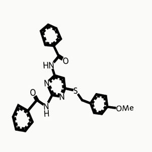 COc1ccc(CSc2cc(NC(=O)c3ccccc3)nc(NC(=O)c3ccccc3)n2)cc1